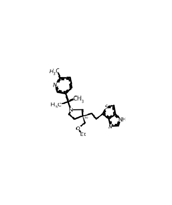 CCOC[C@@]1(CCc2scc3[nH]cnc23)CCN(C(C)(C)c2ccc(C)nc2)C1